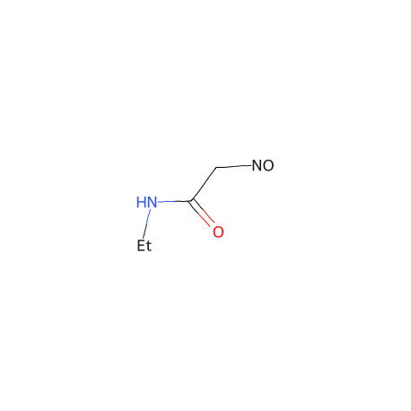 CCNC(=O)CN=O